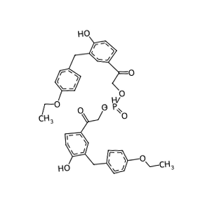 CCOc1ccc(Cc2cc(C(=O)CO[PH](=O)OCC(=O)c3ccc(O)c(Cc4ccc(OCC)cc4)c3)ccc2O)cc1